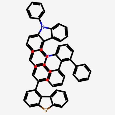 c1ccc(-c2ccccc2-c2c(-c3ccccc3)cccc2N(c2ccc(-c3cccc4sc5ccccc5c34)cc2)c2cccc3c2c2ccccc2n3-c2ccccc2)cc1